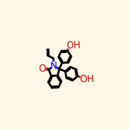 C=CCN1C(=O)c2ccccc2C1(c1ccc(O)cc1)c1ccc(O)cc1